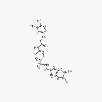 O=C(COc1ccc(Cl)c(F)c1)N[C@H]1CO[C@H](C(=O)NCc2nc3cc(F)c(F)cc3[nH]2)CO1